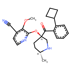 COc1c(C#N)ccnc1O[C@]1(C(=O)c2ccccc2C2CCC2)CC[C@@H](C)NC1